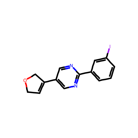 Ic1cccc(-c2ncc(C3=CCOC3)cn2)c1